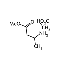 CC(=O)O.COC(=O)CC(C)N